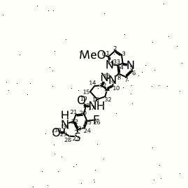 COc1ccc2nccc(-n3cc4c(n3)CCC(NC(=O)c3cc5c(cc3F)SCC(=O)N5)C4)c2n1